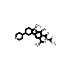 CCCc1c(C(=O)NC(C)F)c(C(N)=O)cc2c3c(n(C)c12)CCC(C1CCOCC1)C3